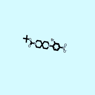 CC(C)(C)OC(=O)N1CCC2(CC1)CCN(c1ccc([N+](=O)[O-])cc1Br)CC2